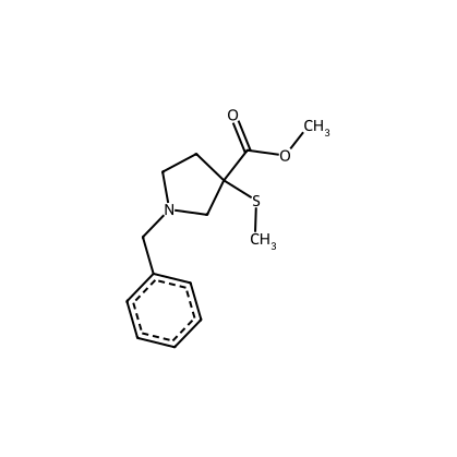 COC(=O)C1(SC)CCN(Cc2ccccc2)C1